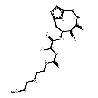 COCCOCCOC(=O)NC(C(=O)NC1Cc2ncc(o2)CNC(=O)C1=O)C(C)C